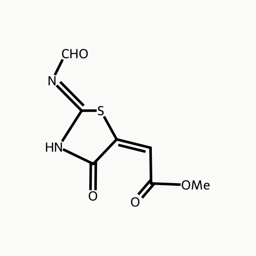 COC(=O)/C=C1/SC(=NC=O)NC1=O